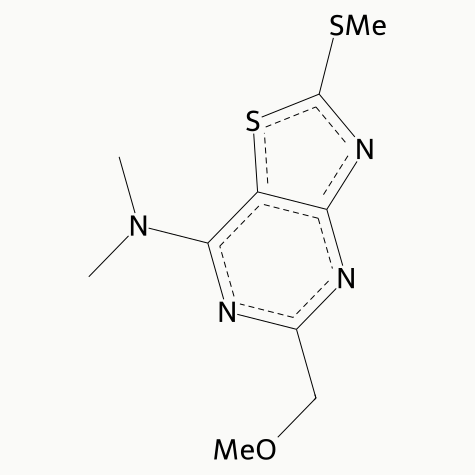 COCc1nc(N(C)C)c2sc(SC)nc2n1